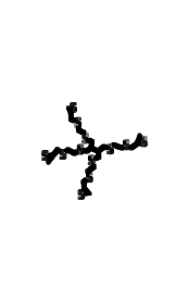 C(CSCC(CSCCSCC1CS1)C(CSCCSCC1CS1)CSCCSCC1CS1)SCC1CS1